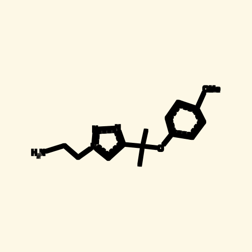 COc1ccc(OC(C)(C)c2cn(CCN)nn2)cc1